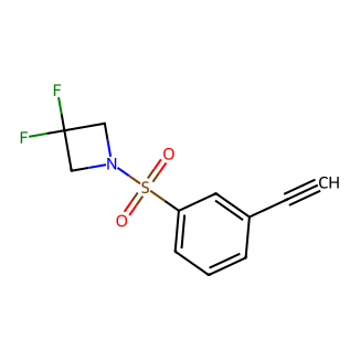 C#Cc1cccc(S(=O)(=O)N2CC(F)(F)C2)c1